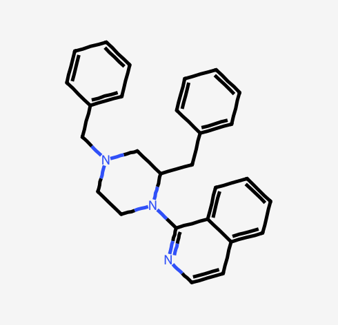 c1ccc(CC2CN(Cc3ccccc3)CCN2c2nccc3ccccc23)cc1